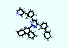 C1=CC(c2cccc(-c3cc(-c4cccc(-c5cccnc5)c4)nc(-c4cc5ccccc5c5ccccc45)n3)c2)=CCC1